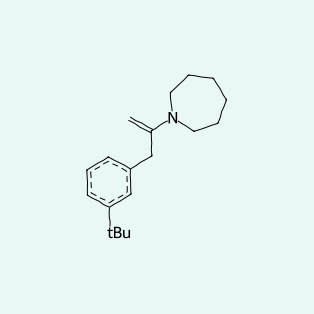 C=C(Cc1cccc(C(C)(C)C)c1)N1CCCCCC1